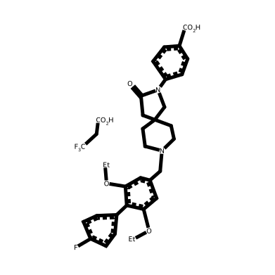 CCOc1cc(CN2CCC3(CC2)CC(=O)N(c2ccc(C(=O)O)cc2)C3)cc(OCC)c1-c1ccc(F)cc1.O=C(O)CC(F)(F)F